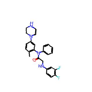 Cc1ccc(N2CCNCC2)cc1N(C(=O)CNc1ccc(F)c(F)c1)c1ccccc1